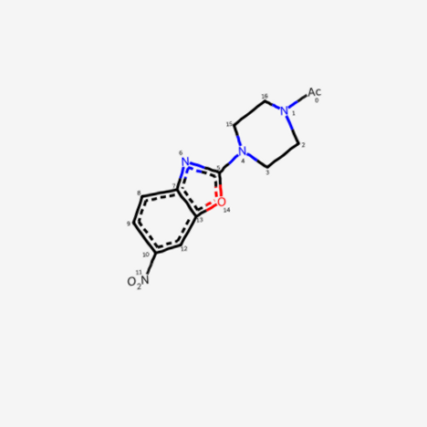 CC(=O)N1CCN(c2nc3ccc([N+](=O)[O-])cc3o2)CC1